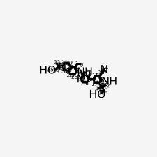 CCc1c(Nc2nccc(-c3cc(C#N)c4c(c3)C(C)(CO)CN4)n2)ccc2c1CCN(C(C)CO)C2